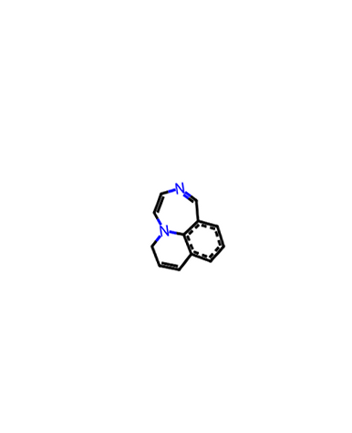 C1=Cc2cccc3c2N(C=CN=C3)C1